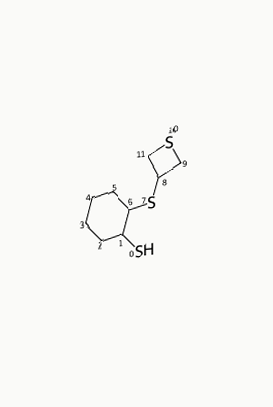 SC1CCCCC1SC1CSC1